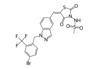 CS(=O)(=O)NN1C(=O)SC(=Cc2ccc3c(cnn3Cc3ccc(Br)cc3C(F)(F)F)c2)C1=O